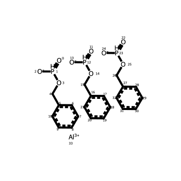 O=[PH]([O-])OCc1ccccc1.O=[PH]([O-])OCc1ccccc1.O=[PH]([O-])OCc1ccccc1.[Al+3]